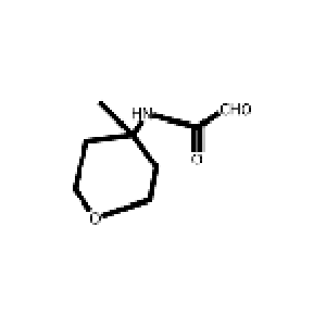 CC1(NC(=O)C=O)CCOCC1